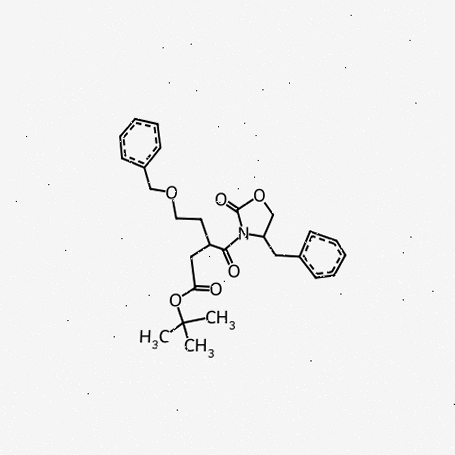 CC(C)(C)OC(=O)CC(CCOCc1ccccc1)C(=O)N1C(=O)OCC1Cc1ccccc1